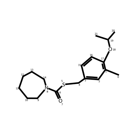 Cc1cc(CSC(=O)N2CCCCCC2)ccc1OC(C)C